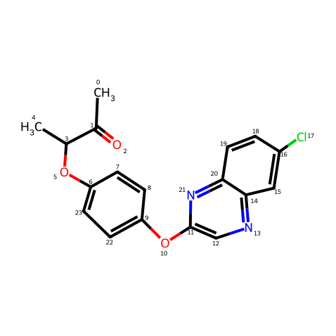 CC(=O)C(C)Oc1ccc(Oc2cnc3cc(Cl)ccc3n2)cc1